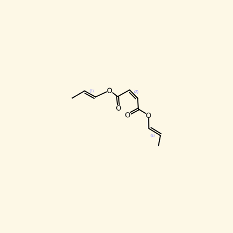 C/C=C/OC(=O)/C=C\C(=O)O/C=C/C